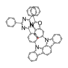 c1ccc(-c2nc(-c3ccccc3)nc(-c3ccc(-n4c5ccccc5c5ccc6c7ccccc7n(-c7ccc8nc(-c9ccccc9)oc8c7)c6c54)cc3)n2)cc1